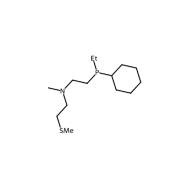 CCP(CCN(C)CCSC)C1CCCCC1